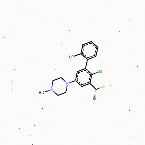 CC[C@@H](F)c1cc(N2CCN(C)CC2)cc(-c2ccccc2C)c1Cl